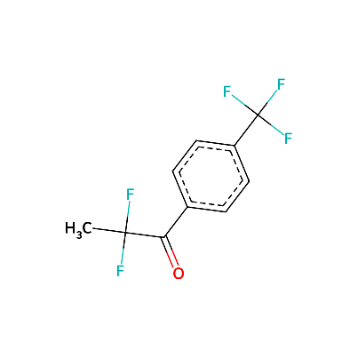 CC(F)(F)C(=O)c1ccc(C(F)(F)F)cc1